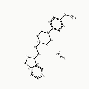 COc1ccc(N2CCN(CCC3OCc4ccccc43)CC2)cc1.Cl.Cl